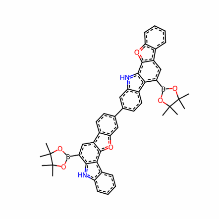 CC1(C)OB(c2cc3c4ccc(-c5ccc6c(c5)[nH]c5c7oc8ccccc8c7cc(B7OC(C)(C)C(C)(C)O7)c65)cc4oc3c3c2[nH]c2ccccc23)OC1(C)C